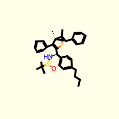 CCCCc1ccc([C@@H](N[S@@+]([O-])C(C)(C)C)C2=C(c3ccccc3)[C@]3(C)C[P@@]2C(c2ccccc2)=C3C)cc1